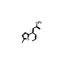 C=C(/C=C(\C=C/C)c1ccc(C)s1)CCC